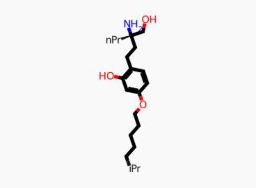 CCC[C@@](N)(CO)CCc1ccc(OCCCCCC(C)C)cc1O